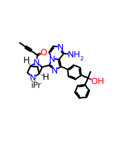 CC#CC(=O)N1C(c2nc(-c3ccc(C(C)(O)c4ccccc4)cc3)c3c(N)nccn23)[C@@H]2C[C@H]1CN2C(C)C